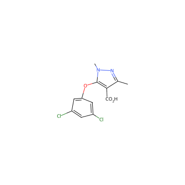 Cc1nn(C)c(Oc2cc(Cl)cc(Cl)c2)c1C(=O)O